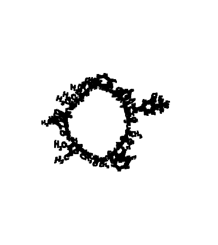 CC[C@H](C)[C@@H]1NC(=O)[C@H](CC(C)C)N(C)C(=O)C[C@@H](C)N(C)C(=O)[C@H](C(C)C)N(C)C(=O)C2(CCCCC2)NC(=O)[C@@H]2CCCN2C(=O)[C@H](CCc2ccc(C(F)(F)F)c(Cl)c2)NC(=O)CN(C)C(=O)[C@H](CC2CCCCC2)N(C)C(=O)CN(C)C(=O)CN(C)C1=O